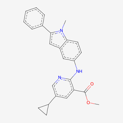 COC(=O)c1cc(C2CC2)cnc1Nc1ccc2c(c1)cc(-c1ccccc1)n2C